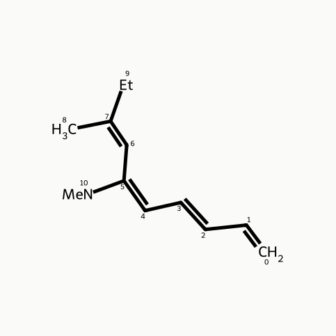 C=C/C=C/C=C(\C=C(/C)CC)NC